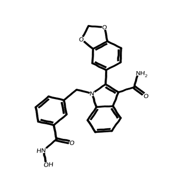 NC(=O)c1c(-c2ccc3c(c2)OCO3)n(Cc2cccc(C(=O)NO)c2)c2ccccc12